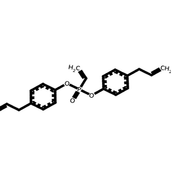 C=CCc1ccc(OP(=O)(C=C)Oc2ccc(CC=C)cc2)cc1